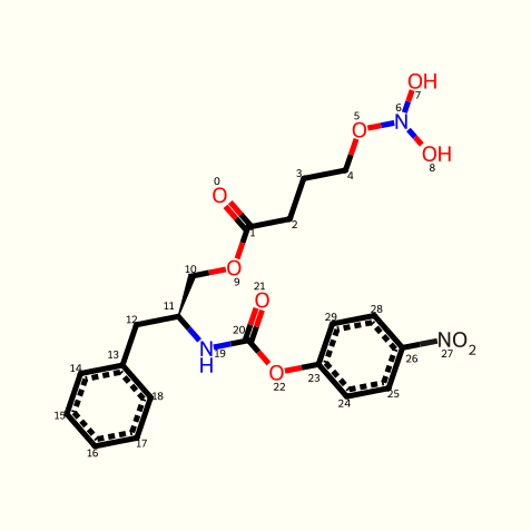 O=C(CCCON(O)O)OC[C@H](Cc1ccccc1)NC(=O)Oc1ccc([N+](=O)[O-])cc1